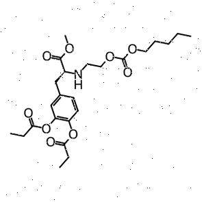 CCCCCOC(=O)OCCN[C@@H](Cc1ccc(OC(=O)CC)c(OC(=O)CC)c1)C(=O)OC